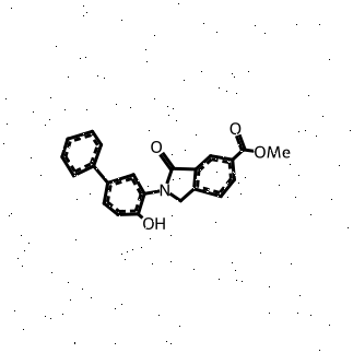 COC(=O)c1ccc2c(c1)C(=O)N(c1cc(-c3ccccc3)ccc1O)C2